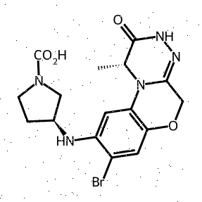 C[C@@H]1C(=O)NN=C2COc3cc(Br)c(N[C@H]4CCN(C(=O)O)C4)cc3N21